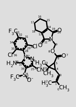 CC(C)=CC1C(C(=O)OCN2C(=O)C3=C(CCCC3)C2=O)C1(C)C.N#Cc1nn(-c2c(Cl)cc(C(F)(F)F)cc2Cl)c(N)c1[S+]([O-])C(F)(F)F